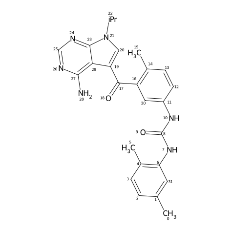 Cc1ccc(C)c(NC(=O)Nc2ccc(C)c(C(=O)c3cn(C(C)C)c4ncnc(N)c34)c2)c1